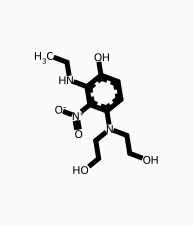 CCNc1c(O)ccc(N(CCO)CCO)c1[N+](=O)[O-]